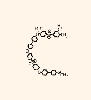 COc1ccc(-c2ccc(Oc3ccc(S(=O)(=O)c4ccc(Oc5ccc(-c6ccc(Oc7ccc(S(=O)(=O)c8ccc(C)c(C)c8)cc7C)cc6)cc5)cc4)cc3)cc2)cc1